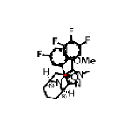 COc1ncc(F)cc1C(=O)N1[C@H]2CCC[C@@H]1c1nn(C)c(-c3cc(F)c(F)c(F)c3)c1C2